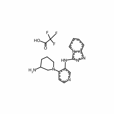 NC1CCCN(c2ccncc2Nc2nnc3ccccn23)C1.O=C(O)C(F)(F)F